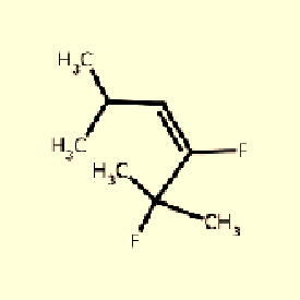 CC(C)/C=C(/F)C(C)(C)F